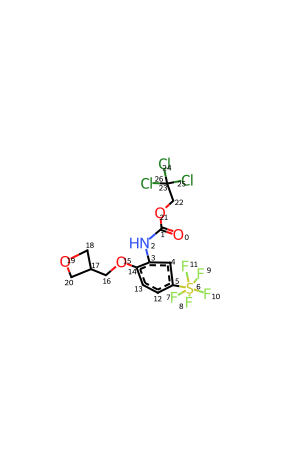 O=C(Nc1cc(S(F)(F)(F)(F)F)ccc1OCC1COC1)OCC(Cl)(Cl)Cl